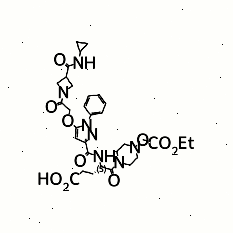 CCOC(=O)ON1CCN(C(=O)[C@H](CCC(=O)O)NC(=O)c2cc(OCC(=O)N3CC(C(=O)NC4CC4)C3)n(-c3ccccc3)n2)CC1